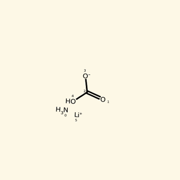 N.O=C([O-])O.[Li+]